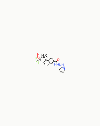 CCC12CCC(O)(C(F)(F)F)CC1CCc1cc(C(=O)NNc3ccccn3)ccc12